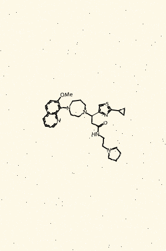 COc1ccc2cccnc2c1N1CCCN(C(CC(=O)NCCN2CCCC2)c2csc(C3CC3)n2)CC1